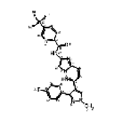 Cn1cc(-c2ccc3nc(NC(=O)c4ccc(C(F)(F)F)cn4)cn3n2)c(-c2ccc(F)cc2)n1